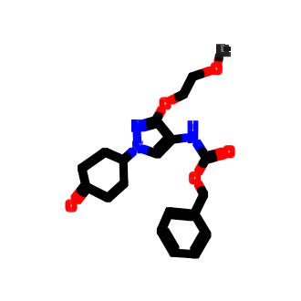 CCOCCOc1nn(C2CCC(=O)CC2)cc1NC(=O)OCc1ccccc1